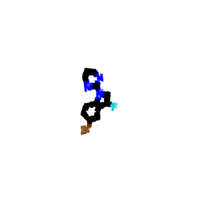 Fc1cn(-c2ncccn2)c2ccc(Br)cc12